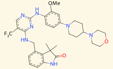 COc1cc(N2CCC(N3CCOCC3)CC2)ccc1Nc1ncc(C(F)(F)F)c(NCc2cccc3c2C(C)(C)C(=O)N3)n1